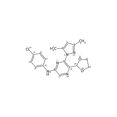 Cc1cc(C)n(-c2nc(Nc3ccc(Cl)cc3)cnc2C2OCCO2)n1